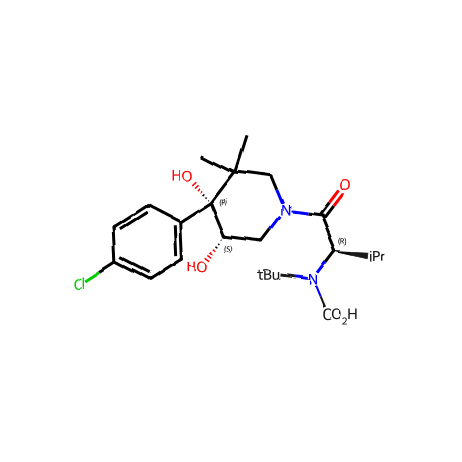 CC(C)[C@H](C(=O)N1C[C@H](O)[C@@](O)(c2ccc(Cl)cc2)C(C)(C)C1)N(C(=O)O)C(C)(C)C